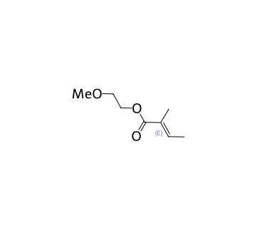 C/C=C(\C)C(=O)OCCOC